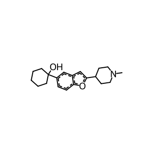 CN1CCC(c2cc3cc(C4(O)CCCCC4)ccc3o2)CC1